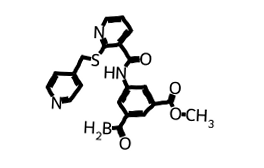 BC(=O)c1cc(NC(=O)c2cccnc2SCc2ccncc2)cc(C(=O)OC)c1